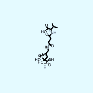 CC(C)[C@H](NC(=O)CCC(=O)NCCCC(O)(P(=O)(O)O)P(=O)(O)O)C(=O)O